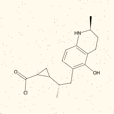 C[C@H]1CCc2c(ccc(C[C@H](C)C3CC3C(=O)Cl)c2O)N1